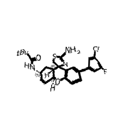 CC(C)(C)C(=O)N[C@H]1CC[C@@H]2Oc3ccc(-c4cc(F)cc(Cl)c4)cc3C3(CSC(N)=N3)[C@H]2C1